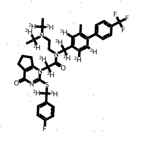 [2H]c1c([2H])c(C([2H])([2H])N(CCN(C([2H])([2H])C)C([2H])([2H])C)C(=O)C([2H])([2H])n2c(SC([2H])([2H])c3ccc(F)cc3)nc(=O)c3c2CCC3)c([2H])c(C)c1-c1ccc(C(F)(F)F)cc1